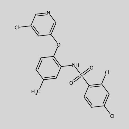 Cc1ccc(Oc2cncc(Cl)c2)c(NS(=O)(=O)c2ccc(Cl)cc2Cl)c1